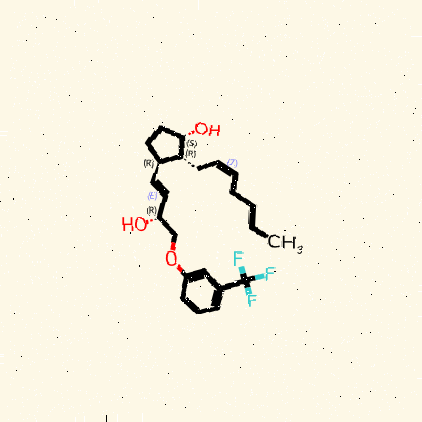 CCCC/C=C\C[C@H]1[C@@H](O)CC[C@@H]1/C=C/[C@@H](O)COc1cccc(C(F)(F)F)c1